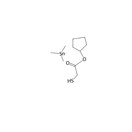 O=C(CS)OC1CCCC1.[CH3][Sn]([CH3])[CH3]